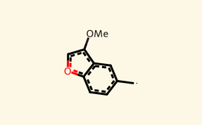 [CH2]c1ccc2occ(OC)c2c1